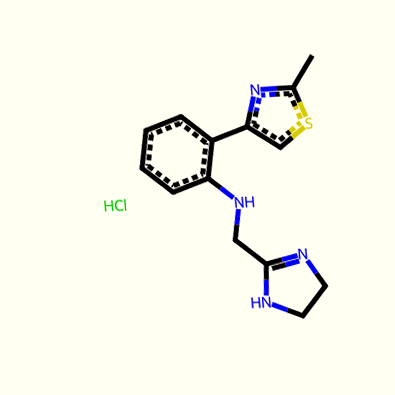 Cc1nc(-c2ccccc2NCC2=NCCN2)cs1.Cl